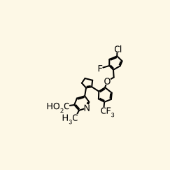 Cc1ncc(C2=C(c3cc(C(F)(F)F)ccc3OCc3ccc(Cl)cc3F)CCC2)cc1C(=O)O